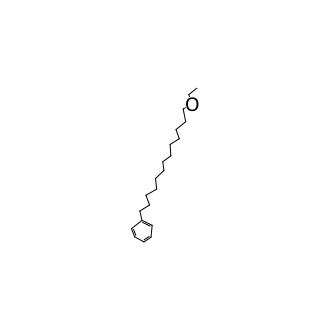 CCOCCCCCCCCCCCCCc1ccccc1